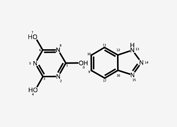 Oc1nc(O)nc(O)n1.c1ccc2[nH]nnc2c1